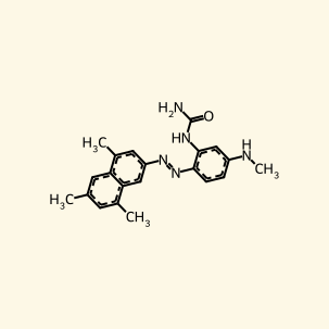 CNc1ccc(N=Nc2cc(C)c3cc(C)cc(C)c3c2)c(NC(N)=O)c1